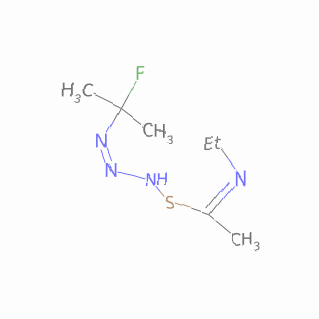 CC/N=C(/C)SN/N=N\C(C)(C)F